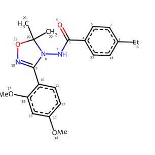 CCc1ccc(C(=O)NN2C(c3ccc(OC)cc3OC)=NOC2(C)C)cc1